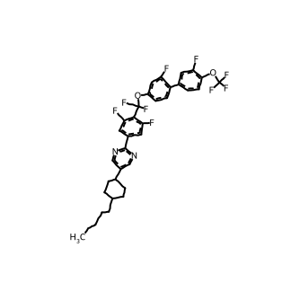 CCCCCC1CCC(c2cnc(-c3cc(F)c(C(F)(F)Oc4ccc(-c5ccc(OC(F)(F)F)c(F)c5)c(F)c4)c(F)c3)nc2)CC1